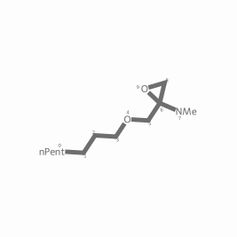 CCCCCCCCOCC1(NC)CO1